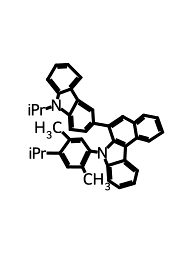 Cc1cc(-n2c3ccccc3c3c4ccccc4cc(-c4ccc5c(c4)c4ccccc4n5C(C)C)c32)c(C)cc1C(C)C